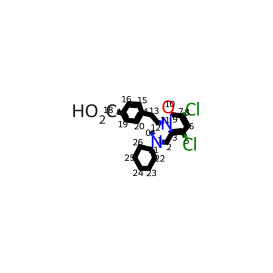 CN(Cc1c(Cl)cc(Cl)c(=O)n1CCc1ccc(C(=O)O)cc1)C1CCCCC1